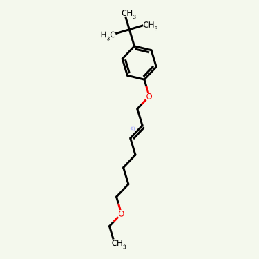 CCOCCCC/C=C/COc1ccc(C(C)(C)C)cc1